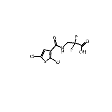 O=C(NCC(F)(F)C(=O)O)c1cc(Cl)sc1Cl